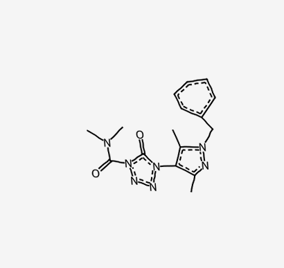 Cc1nn(Cc2ccccc2)c(C)c1-n1nnn(C(=O)N(C)C)c1=O